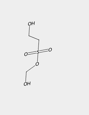 O=S(=O)(CCO)OCO